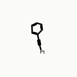 [Pt][C]#Cc1ccccc1